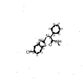 CNC(=O)C(Sc1nc2cc(Cl)ccc2s1)c1ccccc1